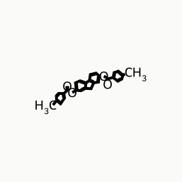 Cc1ccc(C(=O)Oc2ccc3c(c2)Cc2cc(OC(=O)c4ccc(C)cc4)ccc2-3)cc1